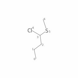 CCCC(Cl)SC